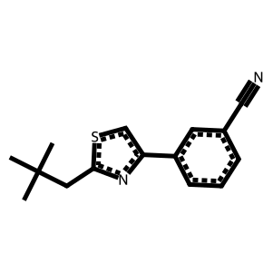 CC(C)(C)Cc1nc(-c2cccc(C#N)c2)cs1